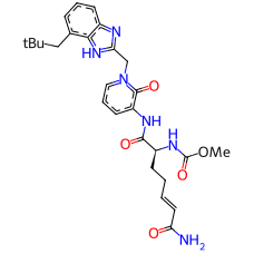 COC(=O)N[C@@H](CC/C=C/C(N)=O)C(=O)Nc1cccn(Cc2nc3cccc(CC(C)(C)C)c3[nH]2)c1=O